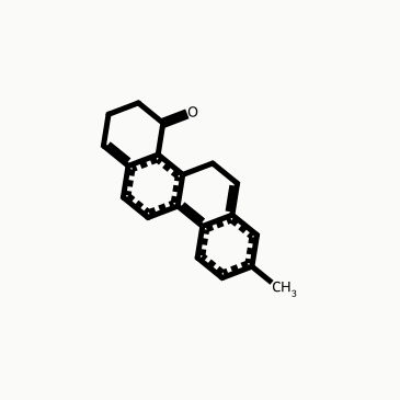 Cc1ccc2c(c1)=CCc1c3c(ccc1=2)=CCCC3=O